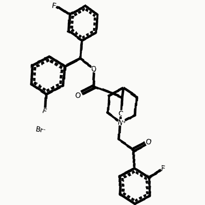 O=C(C[N+]12CCC(CC1)C(C(=O)OC(c1cccc(F)c1)c1cccc(F)c1)C2)c1ccccc1F.[Br-]